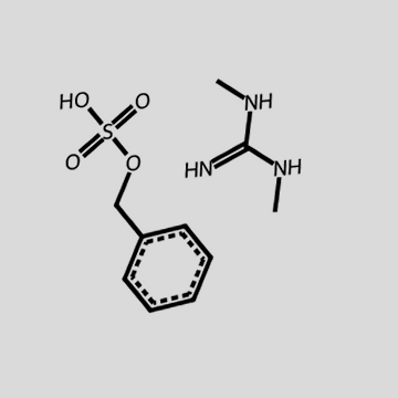 CNC(=N)NC.O=S(=O)(O)OCc1ccccc1